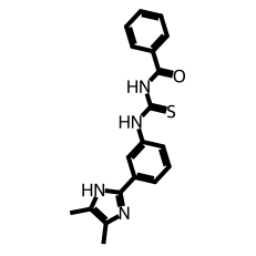 Cc1nc(-c2cccc(NC(=S)NC(=O)c3ccccc3)c2)[nH]c1C